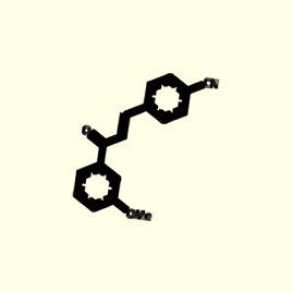 COc1cccc(C(=O)/C=C/c2ccc(C#N)cc2)c1